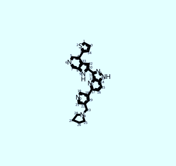 c1csc(-c2cncc3[nH]c(-c4n[nH]c5ccc(-c6cncc(CN7CCCC7)c6)nc45)cc23)c1